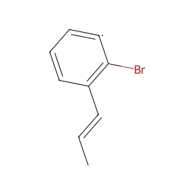 CC=Cc1ccc[c]c1Br